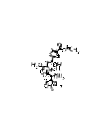 CCOC(=O)c1csc([C@H](O)C[C@H](C(C)C)N(C)C(=O)[C@@H](N)C(C)CC)n1